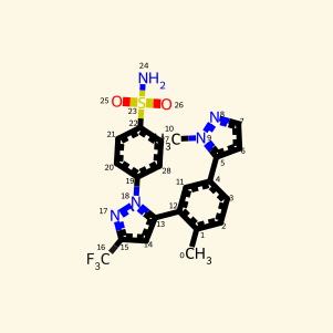 Cc1ccc(-c2ccnn2C)cc1-c1cc(C(F)(F)F)nn1-c1ccc(S(N)(=O)=O)cc1